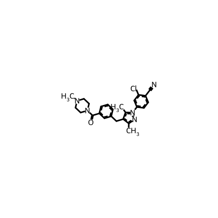 Cc1nn(-c2ccc(C#N)c(Cl)c2)c(C)c1Cc1cccc(C(=O)N2CCN(C)CC2)c1